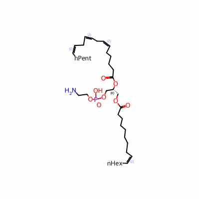 CCCCC/C=C\C/C=C\C/C=C\CCCCC(=O)O[C@H](COC(=O)CCCCCCC/C=C\CCCCCC)COP(=O)(O)OCCN